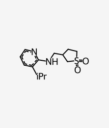 CC(C)c1cccnc1NCC1CCS(=O)(=O)C1